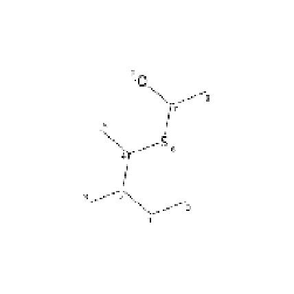 CCC(C)C(C)SC(C)[O]